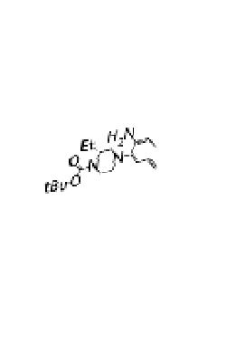 C=C/C=C(\C(N)=C/C)N1CCN(C(=O)OC(C)(C)C)[C@H](CC)C1